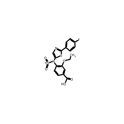 CCOc1cc(C(=O)O)ccc1N(c1cnc(-c2ccc(F)cc2)s1)[SH](=O)=O